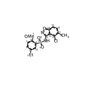 CCc1ccc(OC)c(S(=O)(=O)Nc2noc3ccc(C)c(Cl)c23)c1